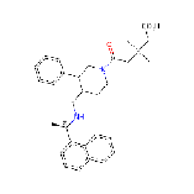 C[C@@H](NCC1CCN(C(=O)CC(C)(C)CC(=O)O)CC1c1ccccc1)c1cccc2ccccc12